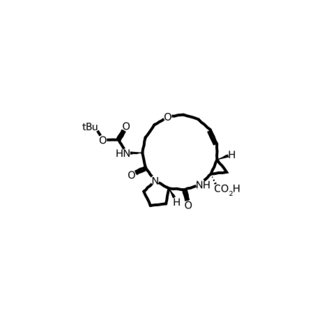 CC(C)(C)OC(=O)N[C@H]1CCOCC/C=C\[C@@H]2C[C@@]2(C(=O)O)NC(=O)[C@@H]2CCCN2C1=O